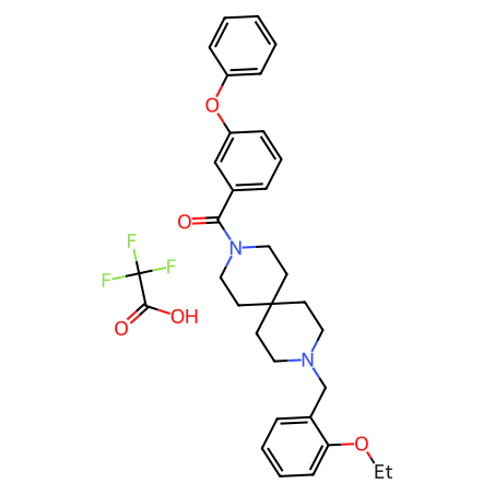 CCOc1ccccc1CN1CCC2(CC1)CCN(C(=O)c1cccc(Oc3ccccc3)c1)CC2.O=C(O)C(F)(F)F